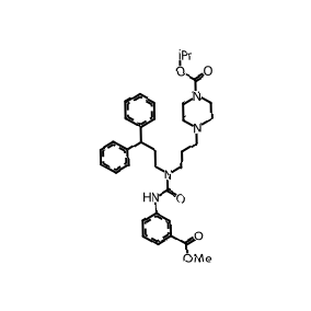 COC(=O)c1cccc(NC(=O)N(CCCN2CCN(C(=O)OC(C)C)CC2)CCC(c2ccccc2)c2ccccc2)c1